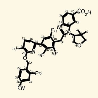 CC1(C)COCC1n1c(Cc2c(F)cc(-c3ccc(F)c(OCc4ccc(C#N)cc4F)n3)c(F)c2F)nc2ccc(C(=O)O)cc21